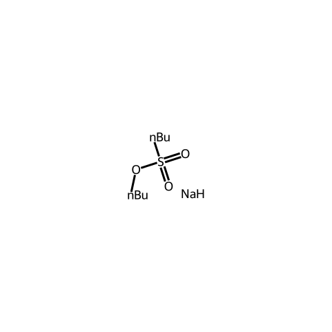 CCCCOS(=O)(=O)CCCC.[NaH]